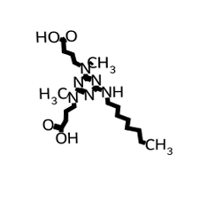 CCCCCCCCNc1nc(N(C)CCCC(=O)O)nc(N(C)CCCC(=O)O)n1